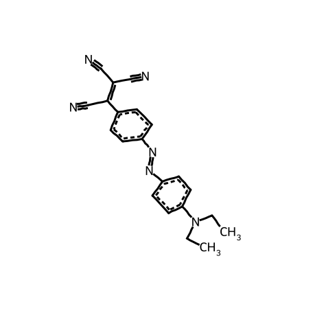 CCN(CC)c1ccc(/N=N/c2ccc(C(C#N)=C(C#N)C#N)cc2)cc1